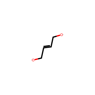 [O]CC=CC[O]